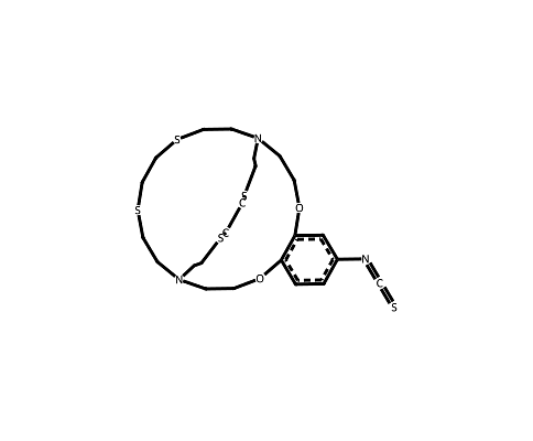 S=C=Nc1ccc2c(c1)OCCN1CCSCCSCCN(CCO2)CCSCCSCC1